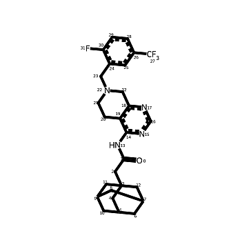 O=C(CC12CC3CC(CC(C3)C1)C2)Nc1ncnc2c1CCN(Cc1cc(C(F)(F)F)ccc1F)C2